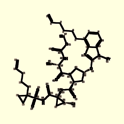 C=CCCCCc1cccc2c1nc(O[C@@H]1C[C@@H](C(=O)N[C@]3(C(=O)NS(=O)(=O)C4(CCCC=C)CC4)C[C@H]3CC)N(C(=O)[C@@H](NC(=O)OC(C)(C)C)C(C)(C)C)C1)n2C(C)C